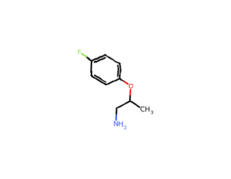 CC(CN)Oc1ccc(F)cc1